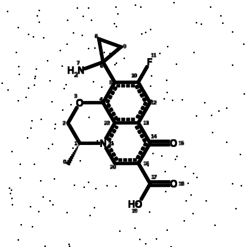 C[C@@H]1COc2c(C3(N)CC3)c(F)cc3c(=O)c(C(=O)O)cn1c23